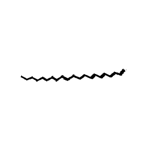 [CH]=CC=CC=CC=CCCCCCCCCCCCCC